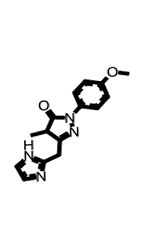 COc1ccc(N2N=C(Cc3ncc[nH]3)C(C)C2=O)cc1